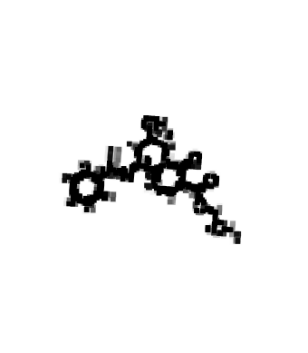 CCOC(=O)c1cnc2n(c1=O)CC(C)CC2=NNc1ccccc1